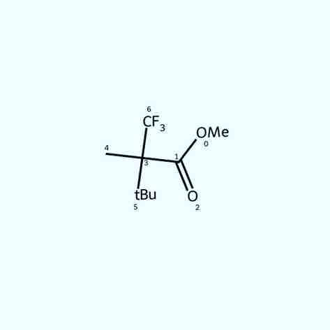 COC(=O)C(C)(C(C)(C)C)C(F)(F)F